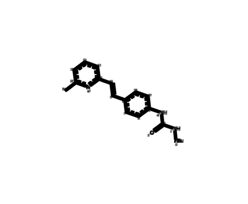 CCCCNC(=O)Nc1ccc(C=Cc2cccc(C)n2)cc1